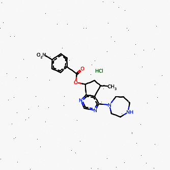 CC1CC(OC(=O)c2ccc([N+](=O)[O-])cc2)c2ncnc(N3CCCNCC3)c21.Cl